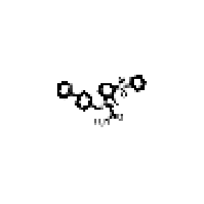 NC(=O)c1nc2c(S(=O)(=O)c3ccccc3)cccc2n1Cc1ccc(-c2ccccc2)cc1